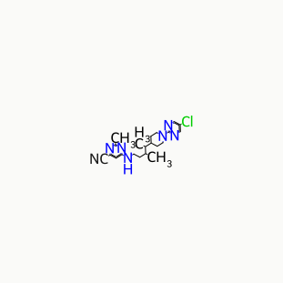 Cc1nc(C#N)cc(NCCC(C)C(C)C2CCN(c3ncc(Cl)cn3)CC2)n1